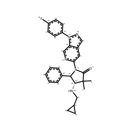 CC1(C)C(=O)N(c2cc3cnn(-c4ccc(F)cc4)c3cn2)C(c2ccccc2)[C@H]1NCC1CC1